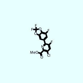 COC(=O)c1nc(-c2cc(F)c3c(c2)OC(F)(F)O3)c(F)cc1Cl